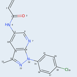 C=CC(=O)Nc1cnc2c(c1)c(C)nn2-c1ccc(Cl)cc1